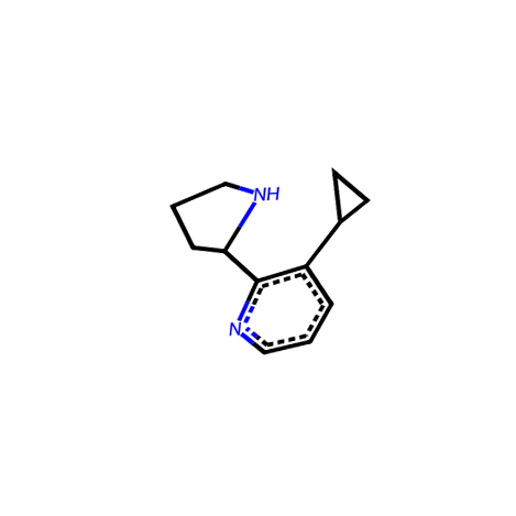 c1cnc(C2CCCN2)c(C2CC2)c1